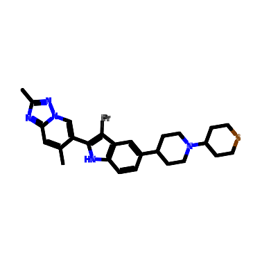 Cc1nc2cc(C)c(-c3[nH]c4ccc(C5CCN(C6CCSCC6)CC5)cc4c3C(C)C)cn2n1